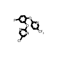 Fc1ccc(Oc2ccc(C(F)(F)F)cn2)c(Oc2ncc(Cl)cn2)c1